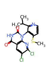 CSc1ccnc(C(C)C)c1-n1c(=O)[nH]c(=O)c2cc(Cl)c(Cl)nc21